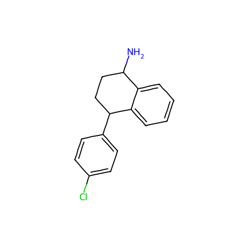 NC1CCC(c2ccc(Cl)cc2)c2ccccc21